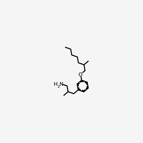 CCCCCC(C)COc1cccc(CC(C)CN)c1